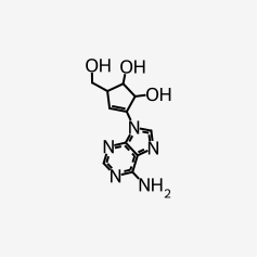 Nc1ncnc2c1ncn2C1=CC(CO)C(O)C1O